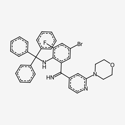 N=C(c1ccnc(N2CCOCC2)c1)c1cc(Br)cc(F)c1NC(c1ccccc1)(c1ccccc1)c1ccccc1